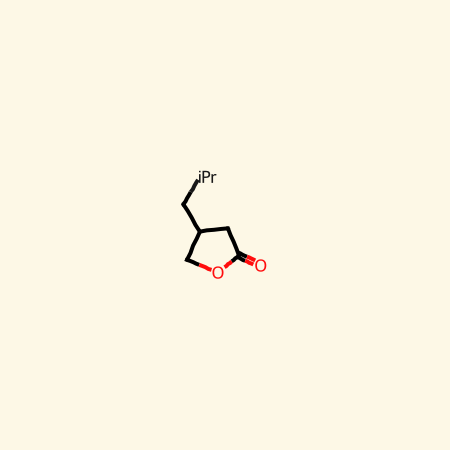 CC(C)CC1COC(=O)C1